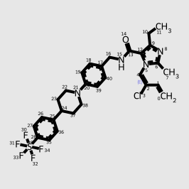 C=C/C(Cl)=C\n1c(C)nc(CC)c1C(=O)NCc1ccc(N2CCC(c3ccc(S(F)(F)(F)(F)F)cc3)CC2)cc1